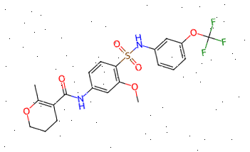 COc1cc(NC(=O)C2=C(C)OCCC2)ccc1S(=O)(=O)Nc1cccc(OC(F)(F)F)c1